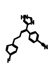 N#Cc1ccc(/C(=C\CCc2ccc(F)cc2)c2c[nH]cn2)cc1